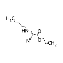 C=CCOC(=O)C(C#N)=CNCCCCC